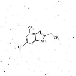 Cc1cc(C(F)(F)F)c2nc(CC(F)(F)F)[nH]c2c1